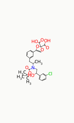 CC(Cc1cccc(C2=COC(C(=O)O)(C(=O)O)O2)c1)N(CC(O)c1cccc(Cl)c1)C(=O)OC(C)(C)C